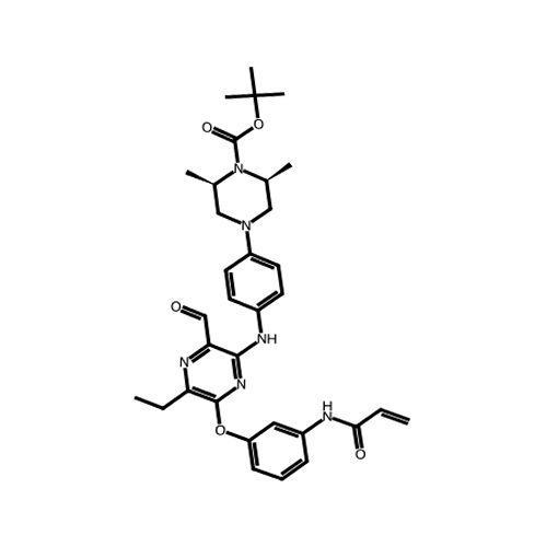 C=CC(=O)Nc1cccc(Oc2nc(Nc3ccc(N4C[C@@H](C)N(C(=O)OC(C)(C)C)[C@@H](C)C4)cc3)c(C=O)nc2CC)c1